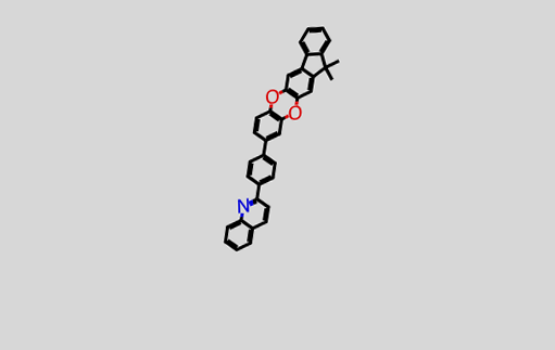 CC1(C)c2ccccc2-c2cc3c(cc21)Oc1cc(-c2ccc(-c4ccc5ccccc5n4)cc2)ccc1O3